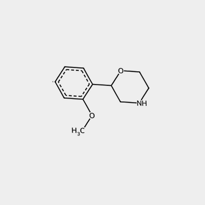 COc1c[c]ccc1C1CNCCO1